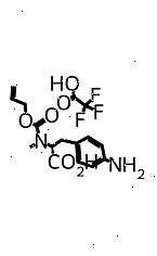 C=CCOC(=O)N(C)[C@@H](Cc1ccc(N)cc1)C(=O)O.O=C(O)C(F)(F)F